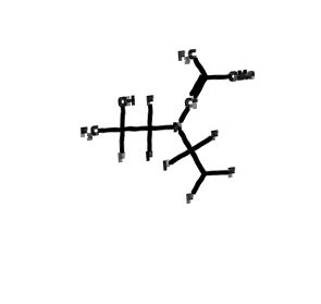 CO[C](=[Cf][N](C(F)(F)C(F)F)C(F)(F)C(O)(F)C(F)(F)F)C(F)(F)F